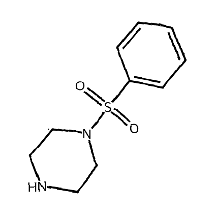 O=S(=O)(c1ccccc1)N1[CH]CNCC1